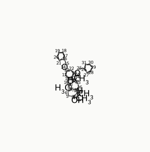 CC1(C)[C@@H](O)CC[C@]2(C)[C@H]3Cc4cc(OCc5ccccc5)cc(OCc5ccccc5)c4[C@]3(C)CC[C@@H]12